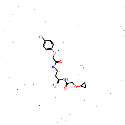 C=C(CCNC(=O)COc1ccc(Cl)cc1)NC(=O)COC1CC1